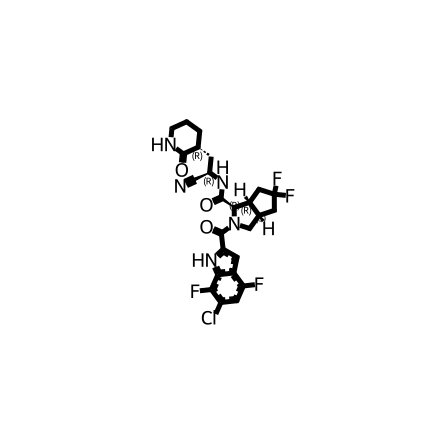 N#C[C@@H](C[C@H]1CCCNC1=O)NC(=O)[C@H]1[C@@H]2CC(F)(F)C[C@@H]2CN1C(=O)c1cc2c(F)cc(Cl)c(F)c2[nH]1